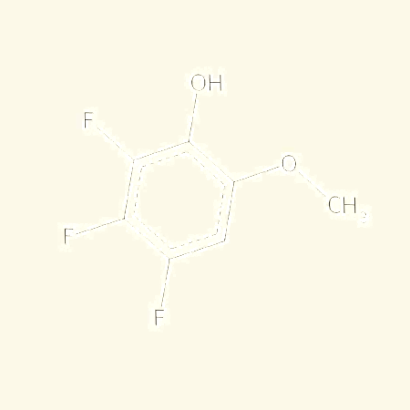 COc1cc(F)c(F)c(F)c1O